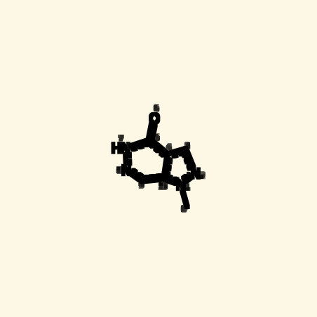 Cn1ncc2c(=O)[nH]ncc21